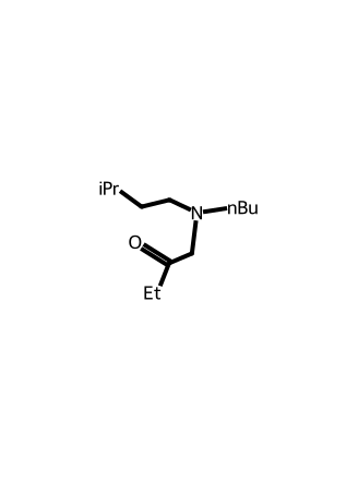 CCCCN(CCC(C)C)CC(=O)CC